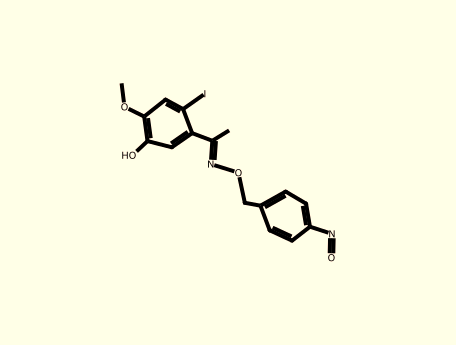 COc1cc(I)c(/C(C)=N/OCc2ccc(N=O)cc2)cc1O